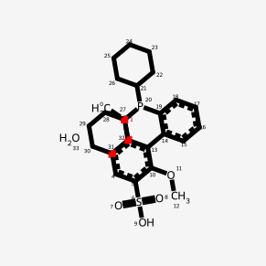 COc1ccc(S(=O)(=O)O)c(OC)c1-c1ccccc1P(C1CCCCC1)C1CCCCC1.O